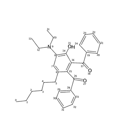 CCCCCCc1cc(N(CC)CC)c(O)c(C(=O)c2ccccc2)c1C(=O)c1ccccc1